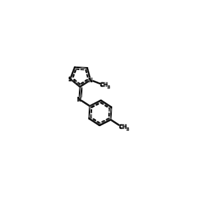 Cc1ccc(N=c2sccn2C)cc1